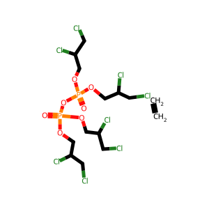 C=C.O=P(OCC(Cl)CCl)(OCC(Cl)CCl)OP(=O)(OCC(Cl)CCl)OCC(Cl)CCl